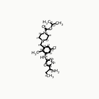 CCC(N)c1nnc(Nc2cc(Cl)cc(CN3CCN(C(=O)OC(C)C)CC3)c2C)o1